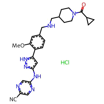 COc1cc(CNCC2CCN(C(=O)C3CC3)CC2)ccc1-c1cc(Nc2cnc(C#N)cn2)n[nH]1.Cl